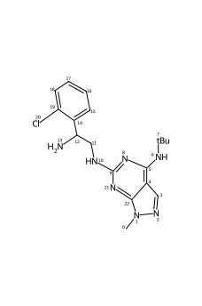 Cn1ncc2c(NC(C)(C)C)nc(NCC(N)c3ccccc3Cl)nc21